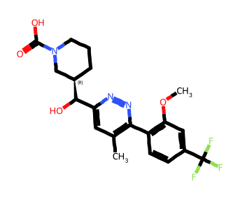 COc1cc(C(F)(F)F)ccc1-c1nnc(C(O)[C@@H]2CCCN(C(=O)O)C2)cc1C